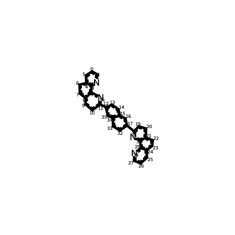 c1cnc2c(c1)ccc1ccc(-c3ccc4cc(-c5ccc6ccc7cccnc7c6n5)ccc4c3)nc12